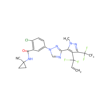 C=CC(F)(F)c1c(C(F)(F)C(F)(F)F)nn(C)c1-c1ncn(-c2ccc(Cl)c(C(=O)NC3(C#N)CC3)c2)n1